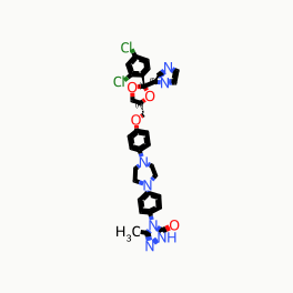 Cc1n[nH]c(=O)n1-c1ccc(N2CCN(c3ccc(OC[C@@H]4CO[C@](c5ccc(Cl)cc5Cl)([C@H]5c6nccn65)O4)cc3)CC2)cc1